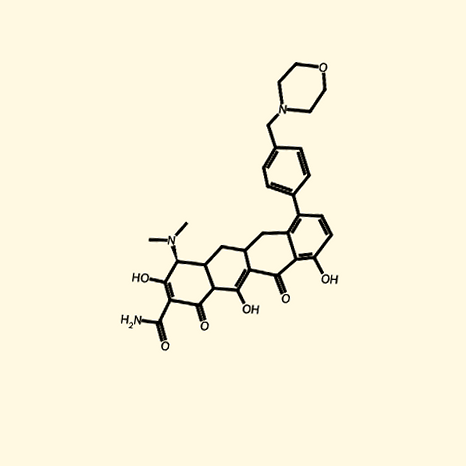 CN(C)[C@@H]1C(O)=C(C(N)=O)C(=O)C2C(O)=C3C(=O)c4c(O)ccc(-c5ccc(CN6CCOCC6)cc5)c4CC3CC21